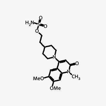 COc1cc2c(N3CCC(CCOS(N)(=O)=O)CC3)cc(=O)n(C)c2cc1OC